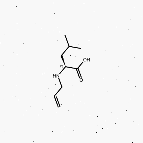 C=CCN[C@@H](CC(C)C)C(=O)O